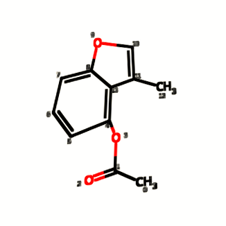 CC(=O)Oc1cccc2occ(C)c12